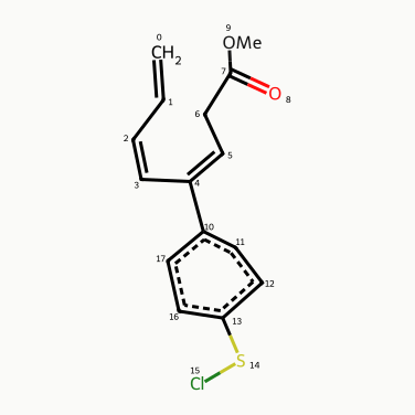 C=C/C=C\C(=C/CC(=O)OC)c1ccc(SCl)cc1